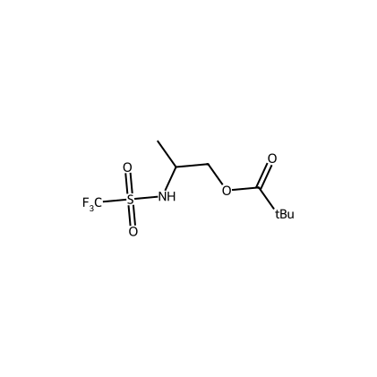 CC(COC(=O)C(C)(C)C)NS(=O)(=O)C(F)(F)F